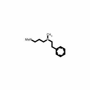 CNCCCN(C)CCc1ccccc1